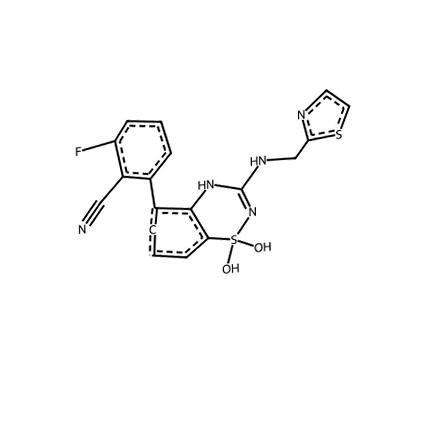 N#Cc1c(F)cccc1-c1cccc2c1NC(NCc1nccs1)=NS2(O)O